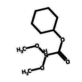 CO[SiH](OC)C(=O)OC1CCCCC1